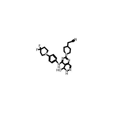 N#CCC1CCN(c2nc3c(c(Nc4ccc(N5CCC(F)(F)CC5)cc4)n2)C(O)NN=C3)CC1